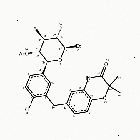 CC[C@H]1O[C@@H](c2ccc(Cl)c(Cc3ccc4c(c3)NC(=O)C(C)(C)O4)c2)[C@H](OC(C)=O)[C@@H](C)[C@@H]1C